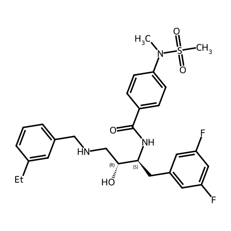 CCc1cccc(CNC[C@@H](O)[C@H](Cc2cc(F)cc(F)c2)NC(=O)c2ccc(N(C)S(C)(=O)=O)cc2)c1